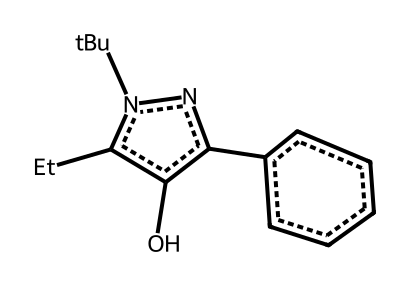 CCc1c(O)c(-c2ccccc2)nn1C(C)(C)C